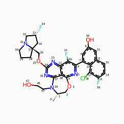 C[C@H]1COc2nc(-c3cc(O)cc4ccc(F)c(Cl)c34)c(F)c3nc(OC[C@@]45CCCN4C[C@H](F)C5)nc(c23)N1CCO